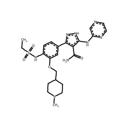 CCS(=O)(=O)Nc1ccc(-c2n[nH]c(Nc3cnccn3)c2C(N)=O)cc1OCC1CCN(C)CC1